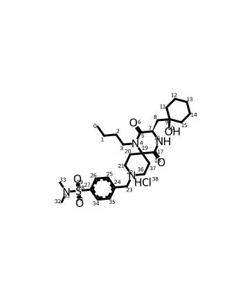 CCCCN1C(=O)[C@@H](CC2(O)CCCCC2)NC(=O)C12CCN(Cc1ccc(S(=O)(=O)N(C)C)cc1)CC2.Cl